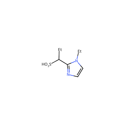 CCC(c1nccn1CC)S(=O)(=O)O